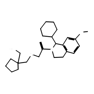 COc1ccc2c(c1)C(C1CCCCC1)N(C(=O)CNCC1(CO)CCCC1)CC2